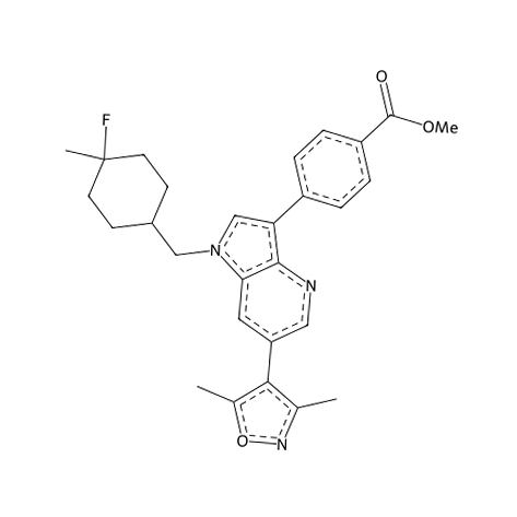 COC(=O)c1ccc(-c2cn(CC3CCC(C)(F)CC3)c3cc(-c4c(C)noc4C)cnc23)cc1